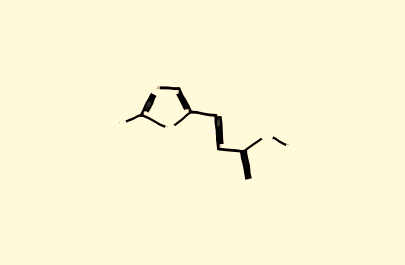 C=C(/C=C/c1cnc(N)s1)OCC